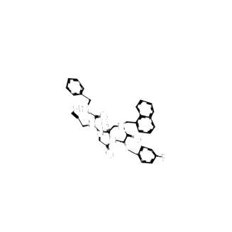 C#CCN(C(=O)NCc1ccccc1)N1CC(=O)N2[C@@H](Cc3ccc(F)cc3)C(=O)N(Cc3cccc4ccccc34)C[C@@H]21